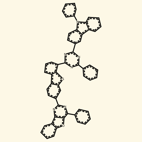 c1ccc(-c2nc(-c3ccc4c(c3)c3ccccc3n4-c3ccccc3)nc(-c3cccc4c3sc3cc(-c5nc(-c6ccccc6)c6oc7ccccc7c6n5)ccc34)n2)cc1